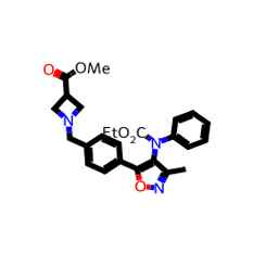 CCOC(=O)N(c1ccccc1)c1c(C)noc1-c1ccc(CN2CC(C(=O)OC)C2)cc1